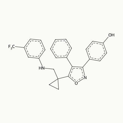 Oc1ccc(-c2noc(C3(CNc4cccc(C(F)(F)F)c4)CC3)c2-c2ccccc2)cc1